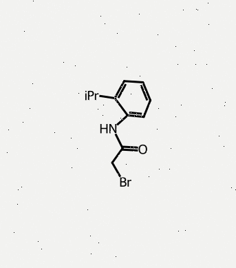 CC(C)c1ccccc1NC(=O)CBr